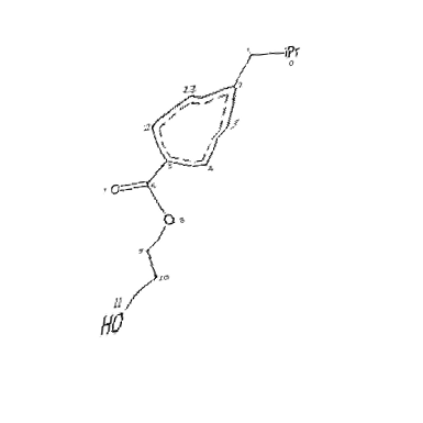 CC(C)Cc1ccc(C(=O)OCCO)cc1